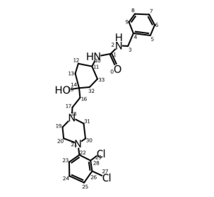 O=C(NCc1ccccc1)NC1CCC(O)(CCN2CCN(c3cccc(Cl)c3Cl)CC2)CC1